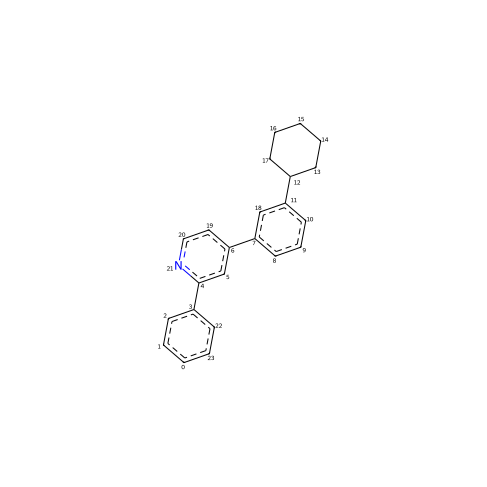 c1ccc(-c2cc(-c3cccc(C4CCCCC4)c3)ccn2)cc1